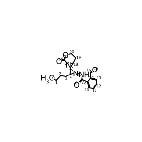 CCCC[C@@H]1N(NC(=O)c2ccccc2C=O)[C@]12C1CCOC(=O)N12